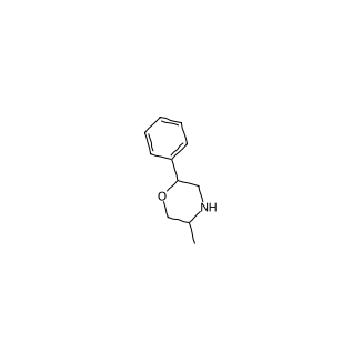 CC1COC(c2ccccc2)CN1